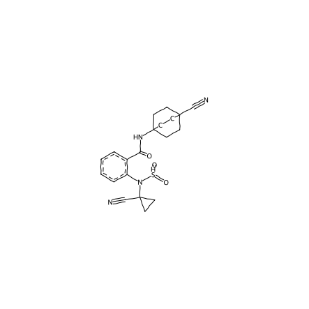 N#CC12CCC(NC(=O)c3ccccc3N([SH](=O)=O)C3(C#N)CC3)(CC1)CC2